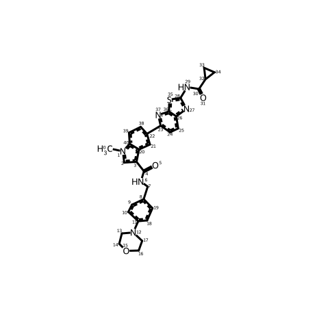 Cn1cc(C(=O)NCc2ccc(N3CCOCC3)cc2)c2cc(-c3ccc4nc(NC(=O)C5CC5)sc4n3)ccc21